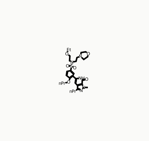 CCCOc1ccc(S(=O)(=O)N(CCOCC)CCN2CCOCC2)cc1-c1cc2c(CCC)nn(C)c2c(=O)[nH]1